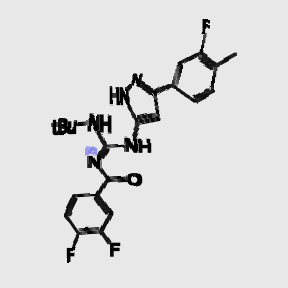 Cc1ccc(-c2cc(N/C(=N\C(=O)c3ccc(F)c(F)c3)NC(C)(C)C)[nH]n2)cc1F